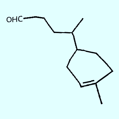 CC1=CCC(C(C)CCC=O)CC1